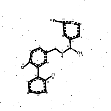 C[C@@H](NCc1ccc(Cl)c(-c2ccccc2Cl)c1)c1cccc(F)c1